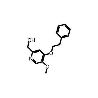 COc1cnc(CO)cc1OCCc1ccccc1